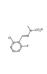 CN(N=Cc1c(F)cccc1Cl)C(=O)O